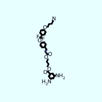 N#CCCCOc1ccc(C(F)(F)Oc2ccc(/C=C/C(=O)OCCCCOC(=O)c3cc(N)cc(N)c3)cc2)cc1